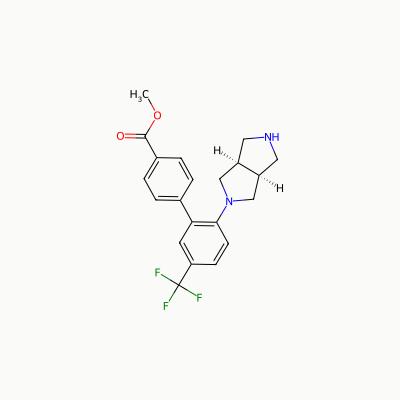 COC(=O)c1ccc(-c2cc(C(F)(F)F)ccc2N2C[C@H]3CNC[C@H]3C2)cc1